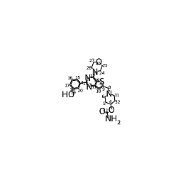 NC(=O)OC1CCN(Cc2cc3nc(-c4cccc(O)c4)nc(N4CCOCC4)c3s2)CC1